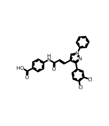 O=C(C=Cc1cn(-c2ccccc2)nc1-c1ccc(Cl)c(Cl)c1)Nc1ccc(C(=O)O)cc1